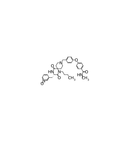 CCCCN1C(=O)[C@H](Cc2ccc[n+]([O-])c2)NC(=O)C12CCN(Cc1ccc(Oc3ccc(C(=O)NC)cc3)cc1)CC2